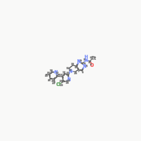 CCC(=O)Nc1ncc2c(n1)CCN(c1cc(-c3ncc(C)cc3C)c(Cl)cn1)C2